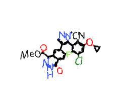 COC(=O)c1n[nH]c(=O)c2ccc(-c3cnn(C)c3-c3c(F)c(Cl)cc(OC4CC4)c3C#N)cc12